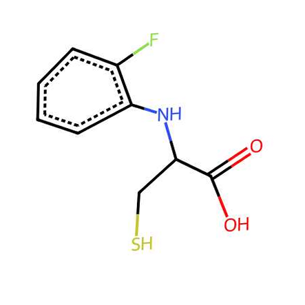 O=C(O)C(CS)Nc1ccccc1F